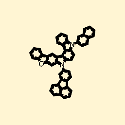 c1ccc2cc(-n3c4ccccc4c4c5c6cc7c(cc6n(-c6ccc8c(c6)-c6cccc9cccc-8c69)c5ccc43)oc3ccccc37)ccc2c1